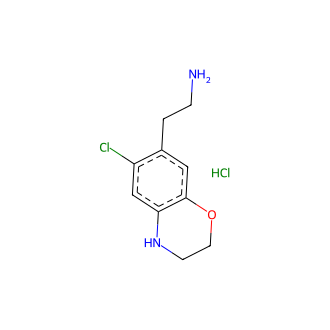 Cl.NCCc1cc2c(cc1Cl)NCCO2